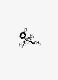 CCCO[Si](CC)(CC)c1cccc(Cl)c1